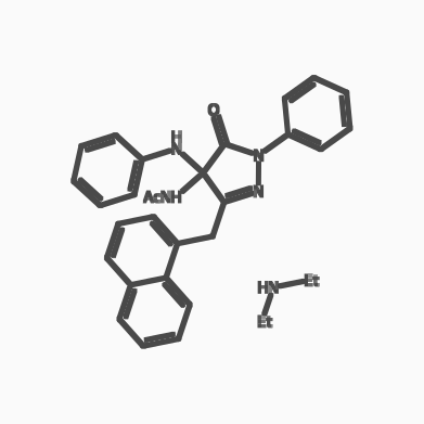 CC(=O)NC1(Nc2ccccc2)C(=O)N(c2ccccc2)N=C1Cc1cccc2ccccc12.CCNCC